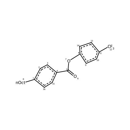 CCCCCCCCc1ccc(C(=O)Oc2ccc(C(F)(F)F)cc2)cc1